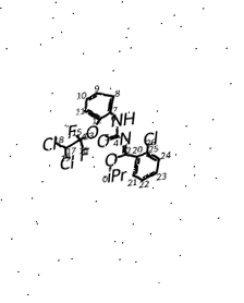 CC(C)O/C(=N\C(=O)Nc1ccccc1OC(F)(F)C(Cl)Cl)c1ccccc1Cl